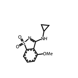 COc1cccc2c1C(NC1CC1)=NS2(=O)=O